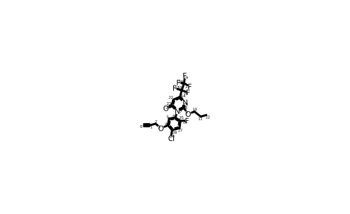 C#CCOc1cc(-n2c(OCCC)nc(C(F)(F)C(F)(F)F)cc2=O)c(F)cc1Cl